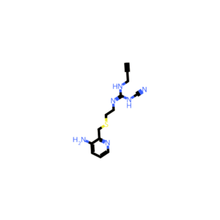 C#CCN/C(=N/CCSCc1ncccc1N)NC#N